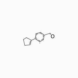 O=Cc1c[c]c(C2=CCCC2)cc1